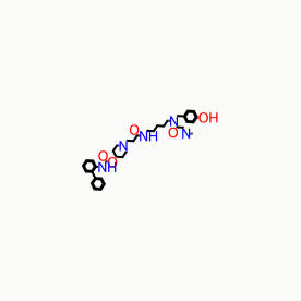 CN(C)CC(=O)N(CCCCCNC(=O)CCN1CCC(OC(=O)Nc2ccccc2-c2ccccc2)CC1)Cc1ccc(O)cc1